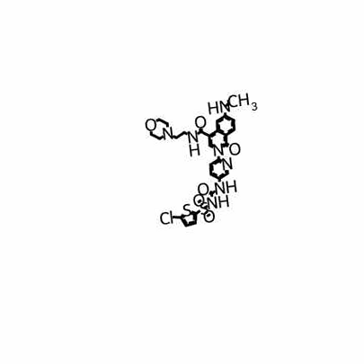 CNc1ccc2c(=O)n(-c3ccc(NC(=O)NS(=O)(=O)c4ccc(Cl)s4)cn3)cc(C(=O)NCCN3CCOCC3)c2c1